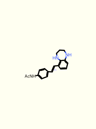 CC(=O)Nc1ccc(/C=C/c2cccc3c2NCCCN3)cc1